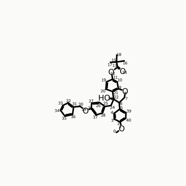 COc1ccc(C2COc3cc(OC(=O)C(C)(C)C)ccc3C2(O)Cc2ccc(OCc3ccccc3)cc2)cc1